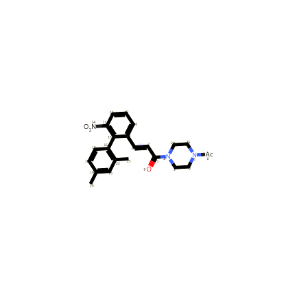 CC(=O)N1CCN(C(=O)/C=C/c2cc[c]c([N+](=O)[O-])c2-c2ccc(C)cc2C)CC1